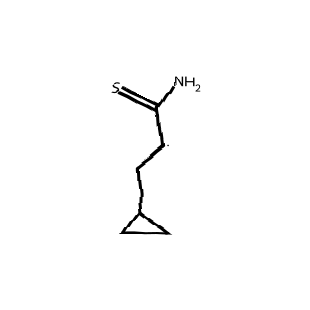 NC(=S)[CH]CC1CC1